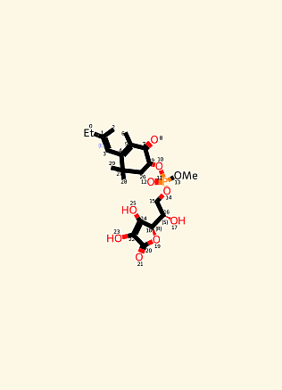 CC/C(C)=C/C1=C(C)C(=O)C(OP(=O)(OC)OC[C@H](O)[C@H]2OC(=O)C(O)=C2O)CC1(C)C